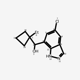 CCC1(C(O)c2cc(Cl)cc3cn[nH]c23)CCC1